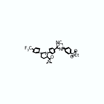 CCS(=O)(=O)c1ccc([C@@H](CC#N)NC(=O)c2ccc(N3C[C@@H](c4ccc(C(F)(F)F)cc4)CCC3C(=O)N(C)C)cc2)cc1